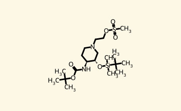 CC(C)(C)OC(=O)N[C@H]1CCN(CCOS(C)(=O)=O)C[C@@H]1O[Si](C)(C)C(C)(C)C